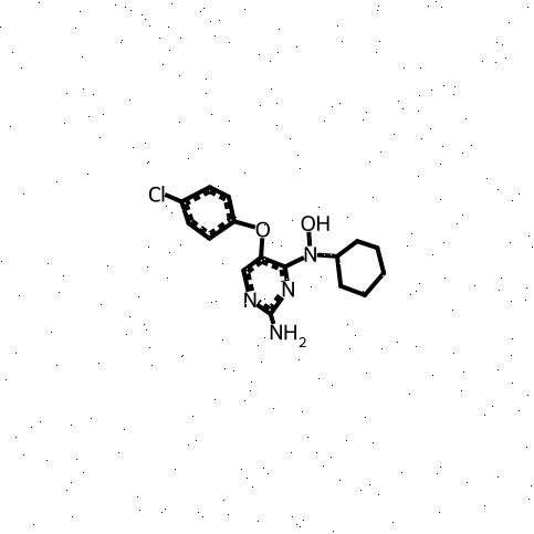 Nc1ncc(Oc2ccc(Cl)cc2)c(N(O)C2CCCCC2)n1